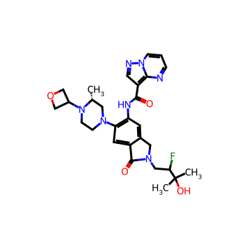 C[C@@H]1CN(c2cc3c(cc2NC(=O)c2cnn4cccnc24)CN(CC(F)C(C)(C)O)C3=O)CCN1C1COC1